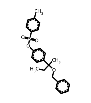 CCC(C)(OCc1ccccc1)c1ccc(OS(=O)(=O)c2ccc(C)cc2)cc1